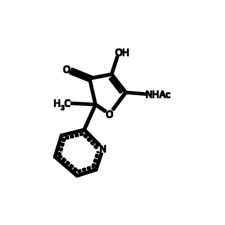 CC(=O)NC1=C(O)C(=O)C(C)(c2ccccn2)O1